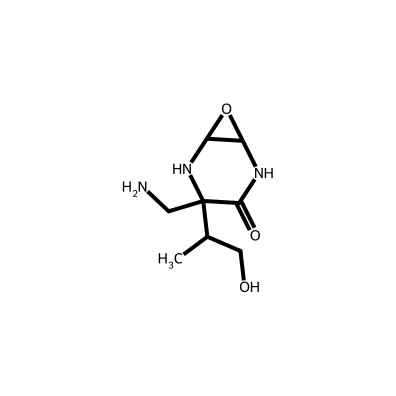 CC(CO)C1(CN)NC2OC2NC1=O